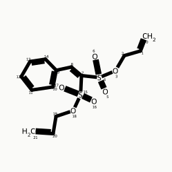 C=CCOS(=O)(=O)C(=Cc1ccccc1)S(=O)(=O)OCC=C